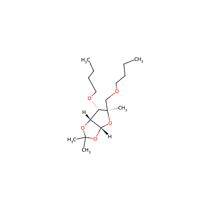 CCCCOC[C@@]1(C)O[C@@H]2OC(C)(C)O[C@@H]2[C@@H]1OCCCC